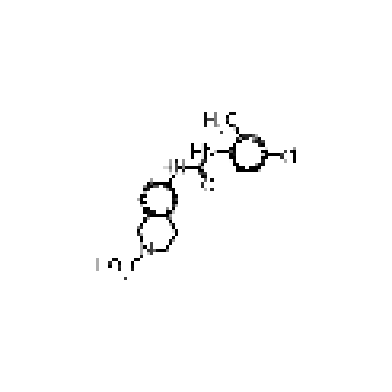 Cc1cc(Cl)ccc1NC(=O)Nc1ccc2c(c1)CCN(C(=O)O)C2